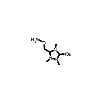 CN1C(CO[SiH3])N(C)N(C)C1C(C)(C)C